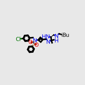 CCC(C)CNC[C@@H]1NC(C23CC(N(Cc4ccc(Cl)cc4)S(=O)(=O)c4ccccc4)(C2)C3)=NC1(C)C